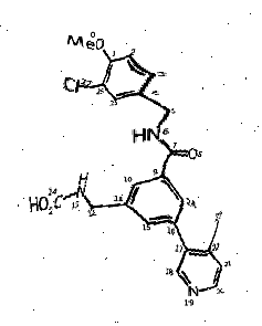 COc1ccc(CNC(=O)c2cc(CNC(=O)O)cc(-c3cnccc3C)c2)cc1Cl